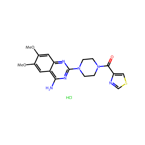 COc1cc2nc(N3CCN(C(=O)c4cscn4)CC3)nc(N)c2cc1OC.Cl